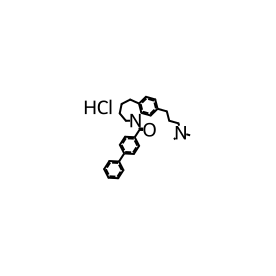 CN(C)CCCc1ccc2c(c1)N(C(=O)c1ccc(-c3ccccc3)cc1)CCCC2.Cl